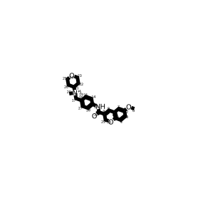 COc1ccc2c(c1)C=C(C(=O)Nc1ccc(C[N+](C)(C)C3CCOCC3)cc1)CO2